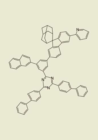 c1ccc(-c2ccc(-c3nc(-c4ccc(-c5ccccc5)cc4)nc(-c4cc(-c5ccc6c(c5)C5(c7ccc(-c8ccccn8)cc7-6)C6CC7CC(C6)CC5C7)cc(-c5ccc6ccccc6c5)c4)n3)cc2)cc1